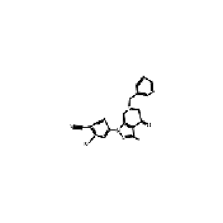 Cc1nn(-c2ccc(C#N)c(Br)c2)c2c1C(=O)CN(Cc1ccccc1)C2